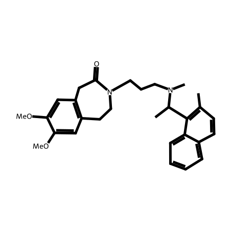 COc1cc2c(cc1OC)CC(=O)N(CCCN(C)C(C)c1c(C)ccc3ccccc13)CC2